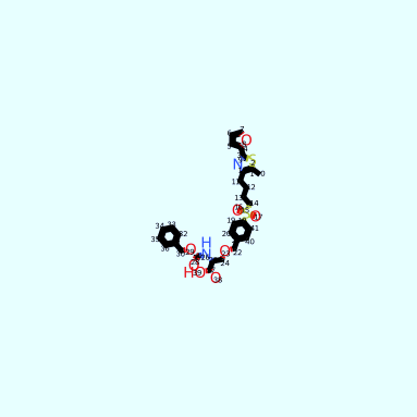 Cc1sc(-c2ccco2)nc1CCCCS(=O)(=O)c1ccc(COCC(NC(=O)OCc2ccccc2)C(=O)O)cc1